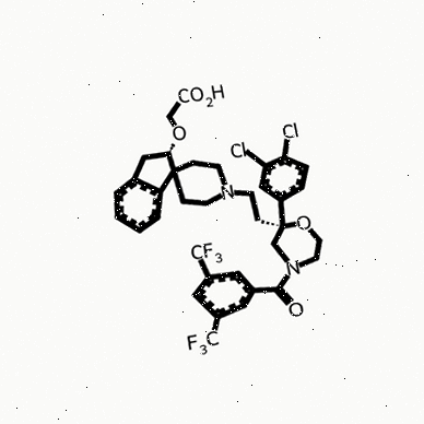 O=C(O)CO[C@H]1Cc2ccccc2C12CCN(CC[C@@]1(c3ccc(Cl)c(Cl)c3)CN(C(=O)c3cc(C(F)(F)F)cc(C(F)(F)F)c3)CCO1)CC2